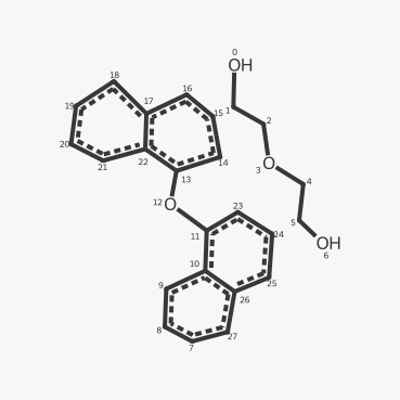 OCCOCCO.c1ccc2c(Oc3cccc4ccccc34)cccc2c1